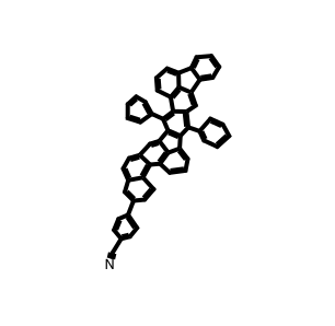 N#Cc1ccc(-c2ccc3c(ccc4cc5c6c(-c7ccccc7)c7c(cc8c9ccccc9c9cccc7c98)c(-c7ccccc7)c6c6cccc(c43)c65)c2)cc1